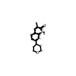 Cc1cc2ccc(C3CCOCC3)cc2n(C)c1=O